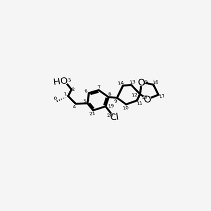 C[C@H](CO)Cc1ccc(C2CCC3(CC2)OCCO3)c(Cl)c1